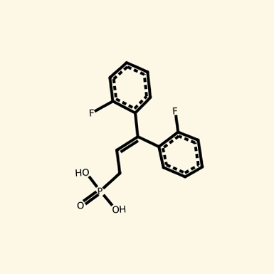 O=P(O)(O)CC=C(c1ccccc1F)c1ccccc1F